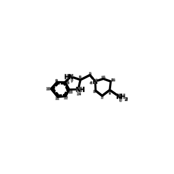 NC1CCN(CC2Nc3ccccc3N2)CC1